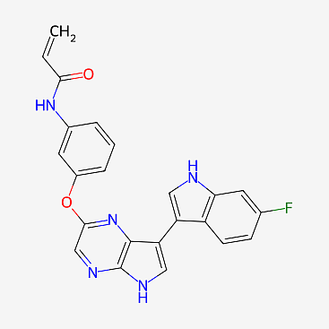 C=CC(=O)Nc1cccc(Oc2cnc3[nH]cc(-c4c[nH]c5cc(F)ccc45)c3n2)c1